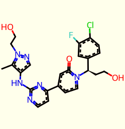 Cc1c(Nc2nccc(-c3ccn([C@H](CCO)c4ccc(Cl)c(F)c4)c(=O)c3)n2)cnn1CCO